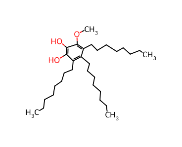 CCCCCCCCc1c(O)c(O)c(OC)c(CCCCCCCC)c1CCCCCCCC